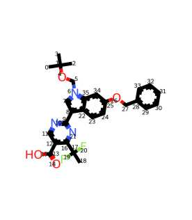 CC(C)(C)OCn1cc(-c2ncc(C(=O)O)c(C(C)(F)F)n2)c2ccc(OCc3ccccc3)cc21